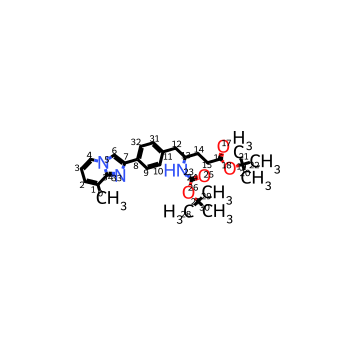 Cc1cccn2cc(-c3ccc(CC(CCC(=O)OC(C)(C)C)NC(=O)OC(C)(C)C)cc3)nc12